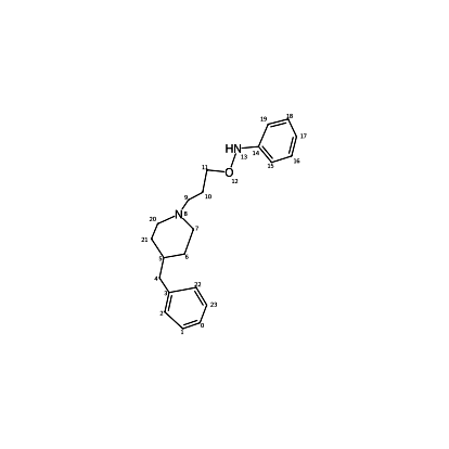 c1ccc(CC2CCN(CCCONc3ccccc3)CC2)cc1